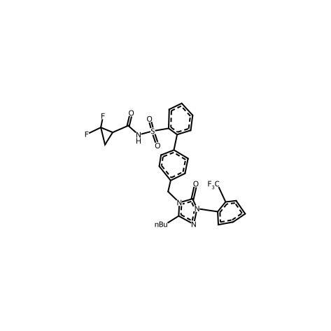 CCCCc1nn(-c2ccccc2C(F)(F)F)c(=O)n1Cc1ccc(-c2ccccc2S(=O)(=O)NC(=O)C2CC2(F)F)cc1